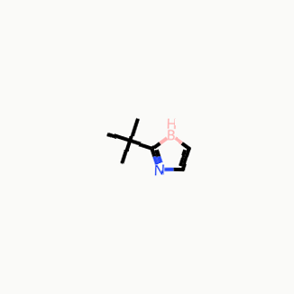 CC(C)(C)C1=NC=CB1